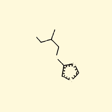 CC(C[O])CSc1cnc[nH]1